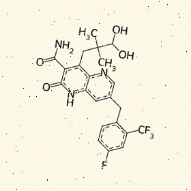 CC(C)(Cc1c(C(N)=O)c(=O)[nH]c2cc(Cc3ccc(F)cc3C(F)(F)F)cnc12)C(O)O